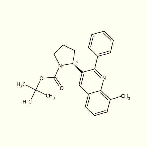 Cc1cccc2cc([C@@H]3CCCN3C(=O)OC(C)(C)C)c(-c3ccccc3)nc12